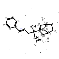 C=C[C@@H]1C(C(C#N)(C#N)C/C=C/c2ccccc2)=C[C@H]2CC[C@@H]1N2